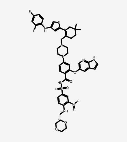 CC1(C)CCC(CN2CCN(c3ccc(C(=O)NS(=O)(=O)c4ccc(NC[C@H]5COCCO5)c([N+](=O)[O-])c4)c(Oc4cnc5[nH]ccc5c4)c3)CC2)=C(c2cc(Nc3ccc(F)cc3F)cs2)C1